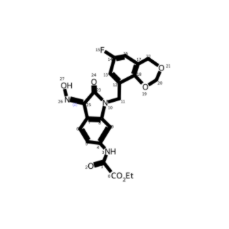 CCOC(=O)C(=O)Nc1ccc2c(c1)N(Cc1cc(F)cc3c1OCOC3)C(=O)/C2=N\O